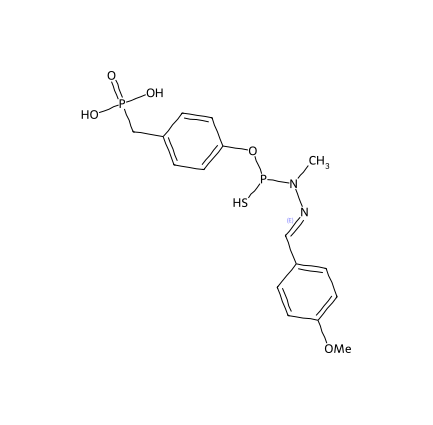 COc1ccc(/C=N/N(C)P(S)Oc2ccc(CP(=O)(O)O)cc2)cc1